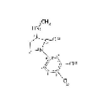 CNC1CCN(c2ccc(Cl)c(Cl)c2)C1=O